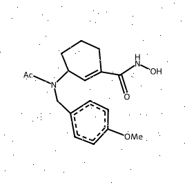 COc1ccc(CN(C(C)=O)C2C=C(C(=O)NO)CCC2)cc1